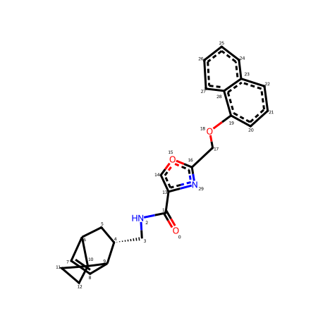 O=C(NC[C@H]1CC2C=CC1C21CC1)c1coc(COc2cccc3ccccc23)n1